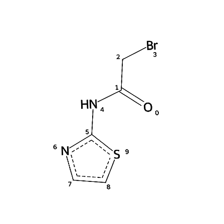 O=C(CBr)Nc1nccs1